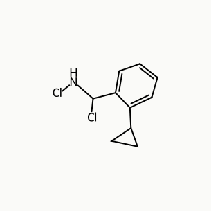 ClNC(Cl)c1ccccc1C1CC1